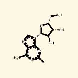 Nc1nc(F)nc2c1ncn2[C@@H]1O[C@H](CO)[C@H](O)[C@H]1S